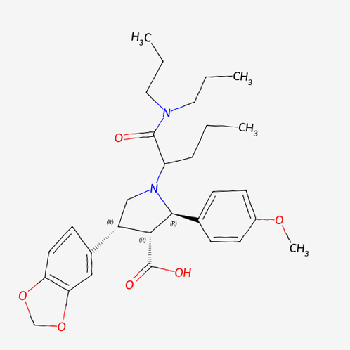 CCCC(C(=O)N(CCC)CCC)N1C[C@@H](c2ccc3c(c2)OCO3)[C@@H](C(=O)O)[C@@H]1c1ccc(OC)cc1